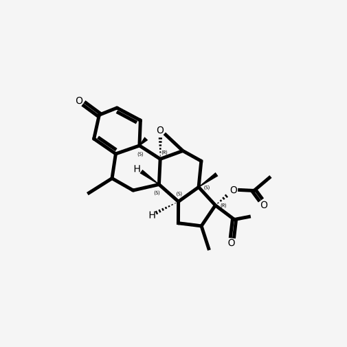 CC(=O)O[C@]1(C(C)=O)C(C)C[C@H]2[C@@H]3CC(C)C4=CC(=O)C=C[C@]4(C)[C@]34OC4C[C@@]21C